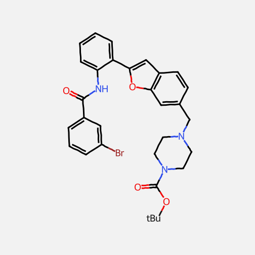 CC(C)(C)OC(=O)N1CCN(Cc2ccc3cc(-c4ccccc4NC(=O)c4cccc(Br)c4)oc3c2)CC1